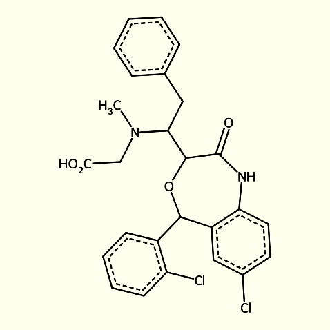 CN(CC(=O)O)C(Cc1ccccc1)C1OC(c2ccccc2Cl)c2cc(Cl)ccc2NC1=O